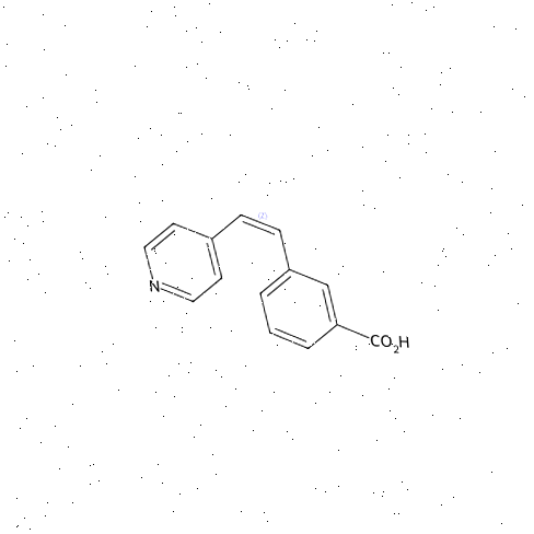 O=C(O)c1cccc(/C=C\c2ccncc2)c1